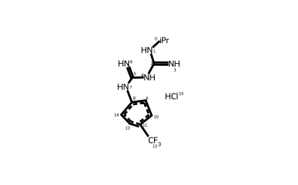 CC(C)NC(=N)NC(=N)Nc1ccc(C(F)(F)F)cc1.Cl